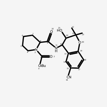 CC(C)COC(=O)N1CCCCC1C(=O)NC1c2cc(C#N)ccc2OC(C)(C)C1O